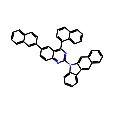 c1ccc2cc(-c3ccc4nc(-n5c6ccccc6c6cc7ccccc7cc65)nc(-c5cccc6ccccc56)c4c3)ccc2c1